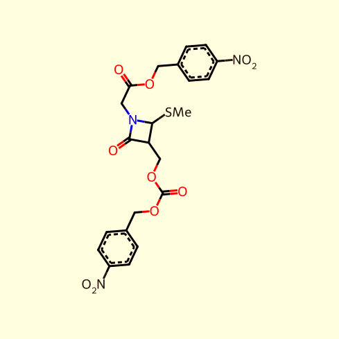 CSC1C(COC(=O)OCc2ccc([N+](=O)[O-])cc2)C(=O)N1CC(=O)OCc1ccc([N+](=O)[O-])cc1